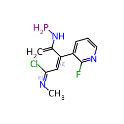 C=C(NP)/C(=C\C(Cl)=N/C)c1cccnc1F